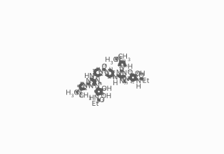 CCC(=O)N[C@H]1C[C@@H](n2cnc3c(NC4CCN(C(=O)N5CCC(Nc6nc(N7CC[C@@H](N(C)C)C7)nc7c6ncn7[C@@H]6C[C@H](NC(=O)CC)[C@@H](O)[C@H]6O)CC5)CC4)nc(N4CC[C@@H](N(C)C)C4)nc32)[C@H](O)[C@@H]1O